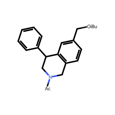 CC(=O)N1Cc2ccc(COCC(C)C)cc2C(c2ccccc2)C1